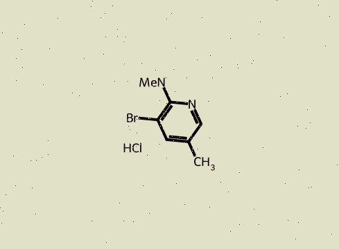 CNc1ncc(C)cc1Br.Cl